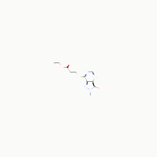 CCOC(=O)CCSc1ncnc2c(O)n(C)nc12